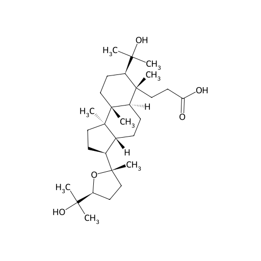 CC(C)(O)[C@@H]1CC[C@@](C)([C@H]2CC[C@]3(C)[C@@H]2CC[C@@H]2[C@@](C)(CCC(=O)O)[C@H](C(C)(C)O)CC[C@]23C)O1